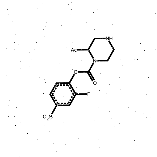 CC(=O)C1CNCCN1C(=O)Oc1ccc([N+](=O)[O-])cc1F